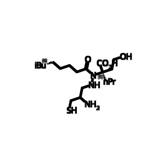 CCC[C@@](CCO)(C(=O)O)N(NCC(N)CS)C(=O)CCCC[C@@H](C)CC